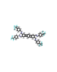 FC(F)(F)c1ccc(/C=C/c2cc3c(cc2/C=C/c2ccc(C(F)(F)F)cc2)c2cc4c5cc(/C=C/c6ccc(C(F)(F)F)cc6)c(/C=C/c6ccc(C(F)(F)F)cc6)cc5c4cc32)cc1